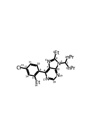 CCCC(CCC)n1c(CC)nc2c(-c3ccc(Cl)cc3CC)ncnc21